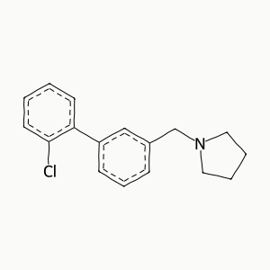 Clc1ccccc1-c1cccc(CN2CCCC2)c1